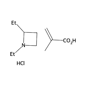 C=C(C)C(=O)O.CCC1CCN1CC.Cl